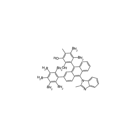 Bc1c(B)c(B)c(-c2ccc3c(-n4c(C)nc5ccccc54)c4ccccc4c(-c4c(B)c(B)c(C)c(O)c4O)c3c2)c(B)c1B